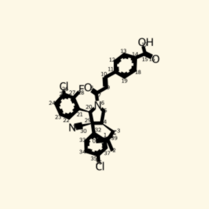 C=C(C)C[C@@H]1CN(C(=O)/C=C/c2ccc(C(=O)O)cc2)[C@H](c2cccc(Cl)c2F)[C@@]1(C#N)c1ccc(Cl)cc1F